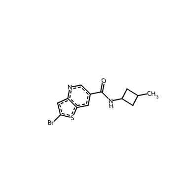 CC1CC(NC(=O)c2cnc3cc(Br)sc3c2)C1